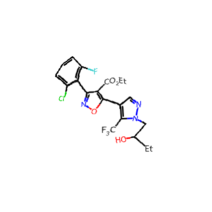 CCOC(=O)c1c(-c2c(F)cccc2Cl)noc1-c1cnn(CC(O)CC)c1C(F)(F)F